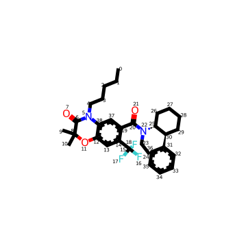 CCCCCN1C(=O)C(C)(C)Oc2cc(C(F)(F)F)c(C(=O)N(CC)[C@@H]3CCCC[C@H]3c3ccccc3)cc21